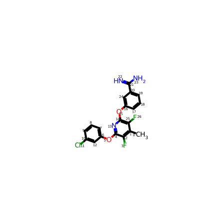 Cc1c(F)c(Oc2cccc(Cl)c2)nc(Oc2cccc(C(=N)N)c2)c1F